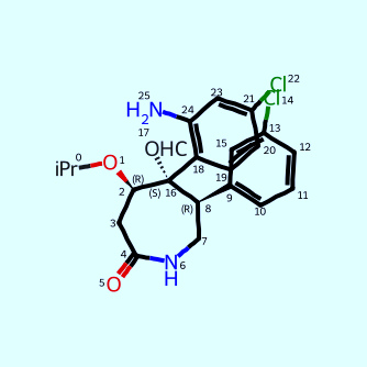 CC(C)O[C@@H]1CC(=O)NC[C@H](c2cccc(Cl)c2)[C@]1(C=O)c1ccc(Cl)cc1N